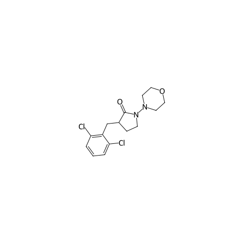 O=C1C(Cc2c(Cl)cccc2Cl)CCN1N1CCOCC1